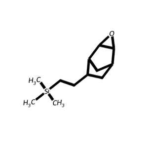 C[Si](C)(C)CCC1CC2CC1C1OC21